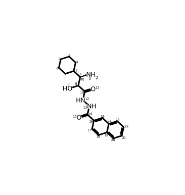 N[C@H](C1CCCCC1)C(O)C(=O)NNC(=O)c1ccc2ccccc2c1